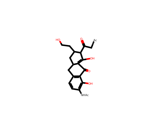 CC(=O)CC(=O)C1C(O)=C2C(=O)c3c(ccc(NC(C)=O)c3O)CC2CC1CCO